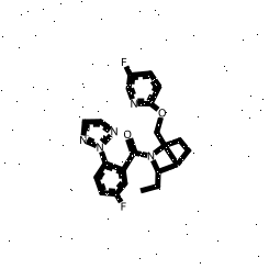 CCC1C2CCC2(COc2ccc(F)cn2)N1C(=O)c1cc(F)ccc1-n1nccn1